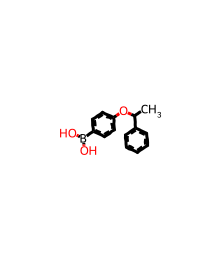 CC(Oc1ccc(B(O)O)cc1)c1ccccc1